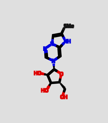 CSC1=CN2N=CN([C@@H]3O[C@H](CO)[C@@H](O)[C@H]3O)C=C2N1